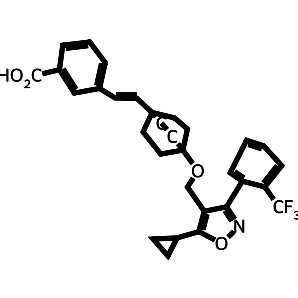 O=C(O)c1cccc(/C=C/C23CCC(OCc4c(-c5ccccc5C(F)(F)F)noc4C4CC4)(CC2)CC3)c1